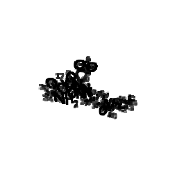 COc1cc(S(C)(=O)=O)ccc1N(C(=O)OC(C)OC(=O)[C@@H](N)C(C)C)c1nc2ccc(-c3ccc(NC(=O)[C@H](C)c4ccc(F)cc4)cc3)cn2n1